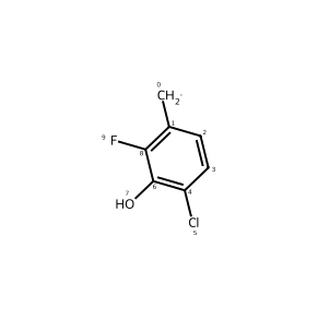 [CH2]c1ccc(Cl)c(O)c1F